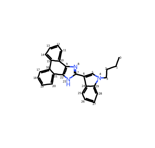 CCCCn1cc(-c2nc3c4ccccc4c4ccccc4c3[nH]2)c2ccccc21